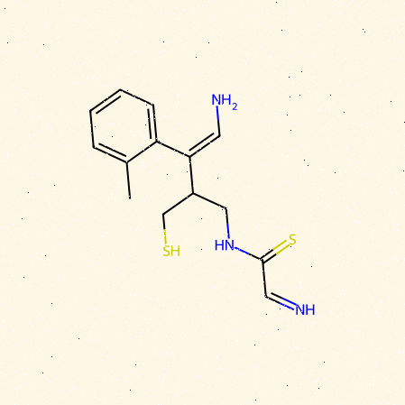 Cc1ccccc1/C(=C\N)C(CS)CNC(=S)C=N